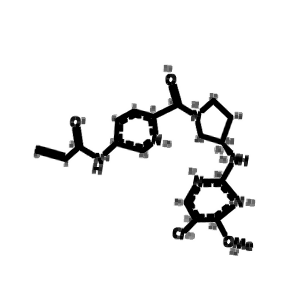 C=CC(=O)Nc1ccc(C(=O)N2CC[C@@H](Nc3ncc(Cl)c(OC)n3)C2)nc1